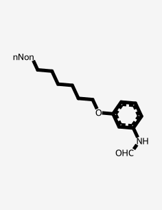 CCCCCCCCCCCCCCCOc1cccc(NC=O)c1